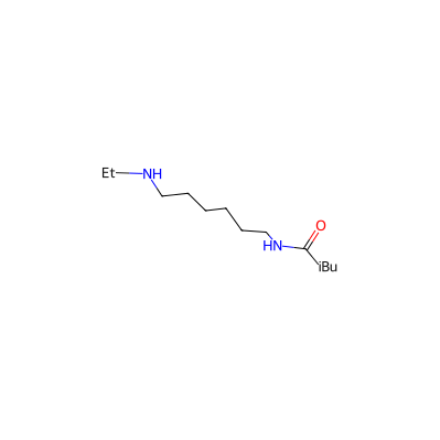 CCNCCCCCCNC(=O)C(C)CC